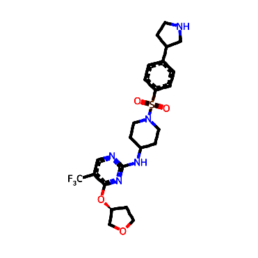 O=S(=O)(c1ccc(C2CCNC2)cc1)N1CCC(Nc2ncc(C(F)(F)F)c(O[C@H]3CCOC3)n2)CC1